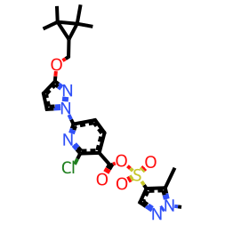 Cc1c(S(=O)(=O)OC(=O)c2ccc(-n3ccc(OCC4C(C)(C)C4(C)C)n3)nc2Cl)cnn1C